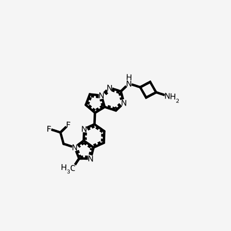 Cc1nc2ccc(-c3ccn4nc(NC5CC(N)C5)ncc34)nc2n1CC(F)F